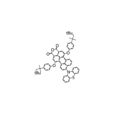 CC(C)(C)CC(C)(C)c1ccc(Oc2cc3c4c(cc(Oc5ccc(C(C)(C)CC(C)(C)C)cc5)c5c6ccc(N7c8ccccc8Sc8ccccc87)c7cccc(c2c45)c76)C(=O)OC3=O)cc1